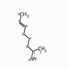 [CH2]CCC(C)CCCC=CC